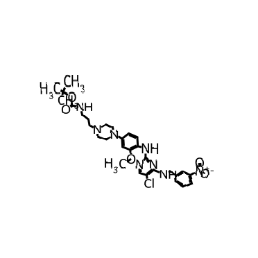 COc1cc(N2CCN(CCCNC(=O)OC(C)(C)C)CC2)ccc1Nc1ncc(Cl)c(NCc2cccc([N+](=O)[O-])c2)n1